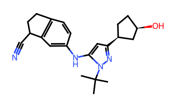 CC(C)(C)n1nc([C@H]2CC[C@@H](O)C2)cc1Nc1ccc2c(c1)C(C#N)CC2